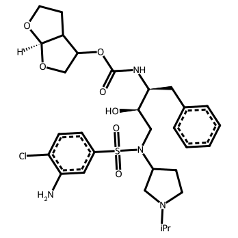 CC(C)N1CCC(N(C[C@@H](O)[C@H](Cc2ccccc2)NC(=O)OC2CO[C@H]3OCCC23)S(=O)(=O)c2ccc(Cl)c(N)c2)C1